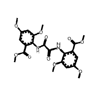 COC(=O)c1cc(OC)cc(OC)c1NC(=O)C(=O)Nc1c(OC)cc(OC)cc1C(=O)OC